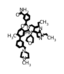 CCc1nc2c(cnn2CC)c(NC2CCOCC2)c1CN(Cc1ccc(C)c(-c2cccc(CN3CCN(C)CC3)c2)c1)C(=O)c1cccc(C(N)=O)c1